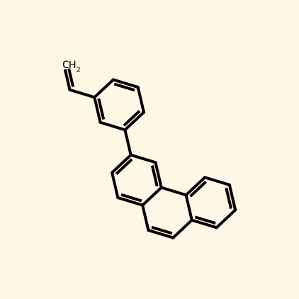 C=Cc1cccc(-c2ccc3ccc4ccccc4c3c2)c1